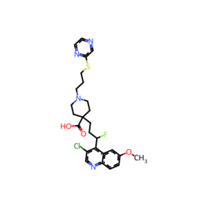 COc1ccc2ncc(Cl)c(C(F)CCC3(C(=O)O)CCN(CCCSc4cnccn4)CC3)c2c1